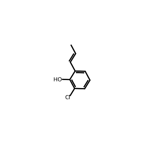 CC=Cc1cccc(Cl)c1O